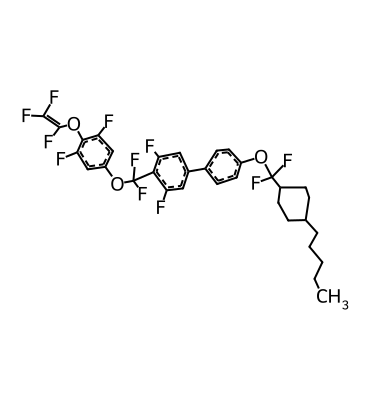 CCCCCC1CCC(C(F)(F)Oc2ccc(-c3cc(F)c(C(F)(F)Oc4cc(F)c(OC(F)=C(F)F)c(F)c4)c(F)c3)cc2)CC1